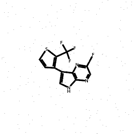 Fc1cnc2[nH]cc(-c3ccsc3C(F)(F)F)c2n1